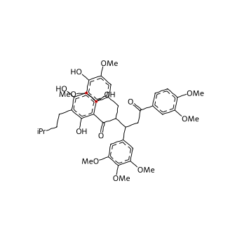 COc1ccc(C(=O)CC(c2cc(OC)c(OC)c(OC)c2)C(Cc2cc(OC)c(O)c(OC)c2)C(=O)c2c(O)cc(O)c(CCC(C)C)c2O)cc1OC